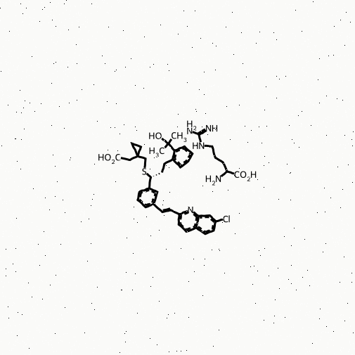 CC(C)(O)c1ccccc1CC[C@@H](SCC1(CC(=O)O)CC1)c1cccc(/C=C/c2ccc3ccc(Cl)cc3n2)c1.N=C(N)NCCCC(N)C(=O)O